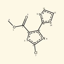 COC(=O)c1sc(Cl)nc1-c1nccs1